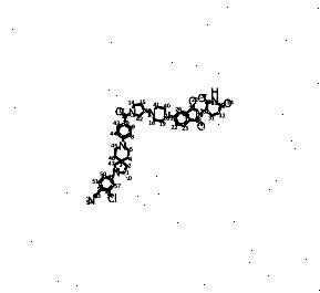 C[C@H]1CC2(CCN(c3ccc(C(=O)N4CC[C@@H](N5CCN(c6ccc7c(c6)C(=O)N(C6CCC(=O)NC6=O)C7=O)CC5)C4)cc3)CC2)CN1c1ccc(C#N)c(Cl)c1